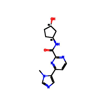 Cn1cncc1-c1ccnc(C(=O)N[C@H]2CC[C@H](O)C2)n1